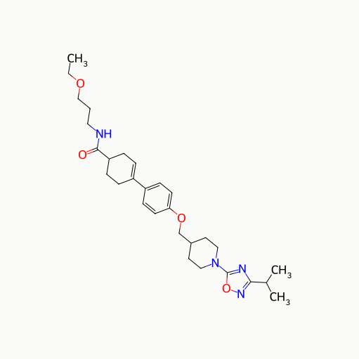 CCOCCCNC(=O)C1CC=C(c2ccc(OCC3CCN(c4nc(C(C)C)no4)CC3)cc2)CC1